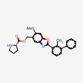 CSc1cc2oc(-c3cccc(-c4ccccc4)c3C)nc2cc1COC(=O)[C@H]1CCCN1